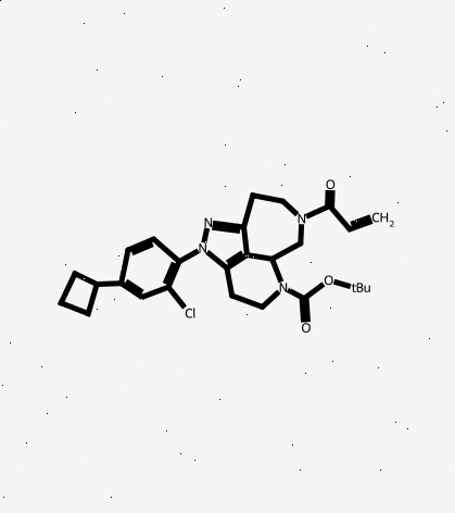 C=CC(=O)N1CCc2nn(-c3ccc(C4CCC4)cc3Cl)c3c2C(C1)N(C(=O)OC(C)(C)C)CC3